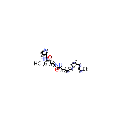 CC/C=C\C/C=C\C/C=C\C/C=C\C/C=C\CCCC(=O)NCCCC[C@H](NC(=O)c1cccnc1)C(=O)O